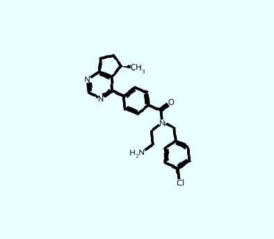 C[C@@H]1CCc2ncnc(-c3ccc(C(=O)N(CCN)Cc4ccc(Cl)cc4)cc3)c21